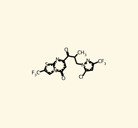 CC(Cn1nc(C(F)(F)F)cc1Cl)C(=O)c1cc(=O)n2cc(C(F)(F)F)sc2n1